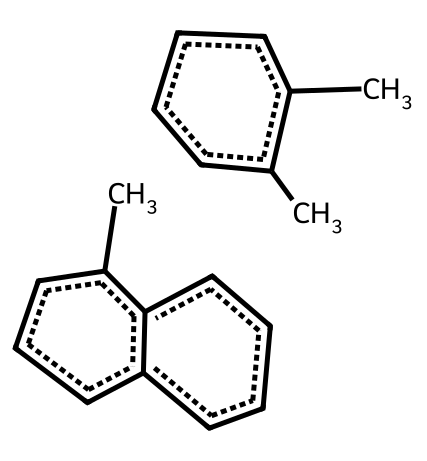 Cc1cccc2ccccc12.Cc1ccccc1C